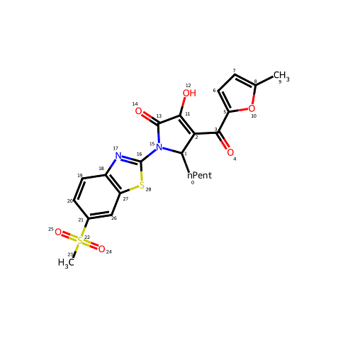 CCCCCC1C(C(=O)c2ccc(C)o2)=C(O)C(=O)N1c1nc2ccc(S(C)(=O)=O)cc2s1